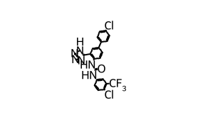 O=C(Nc1ccc(Cl)c(C(F)(F)F)c1)Nc1ccc(-c2ccc(Cl)cc2)cc1-c1nnn[nH]1